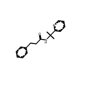 CC(C)(NC(=O)CCc1ccccc1)c1ccccn1